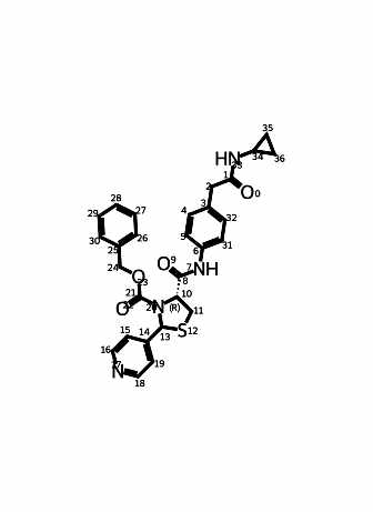 O=C(Cc1ccc(NC(=O)[C@@H]2CSC(c3ccncc3)N2C(=O)OCc2ccccc2)cc1)NC1CC1